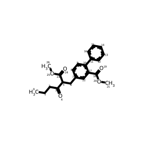 CCCC(=O)C(Cc1ccc(-c2ccccc2)c(C(=O)OC)c1)C(=O)OC